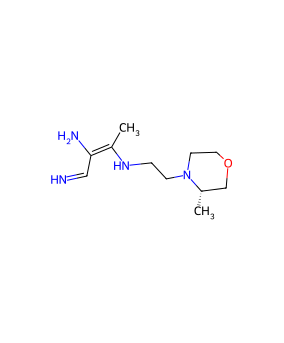 C/C(NCCN1CCOC[C@@H]1C)=C(\N)C=N